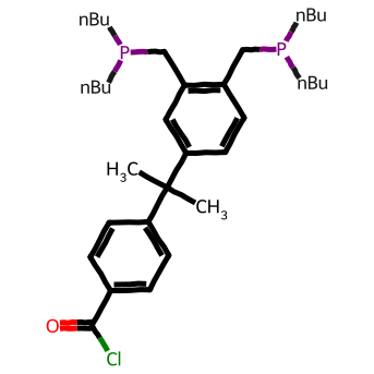 CCCCP(CCCC)Cc1ccc(C(C)(C)c2ccc(C(=O)Cl)cc2)cc1CP(CCCC)CCCC